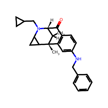 C[C@H]1[C@H]2C(=O)c3ccc(NCc4ccccc4)cc3[C@]1(C)C1CC1N2CC1CC1